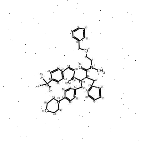 CN(CCOCc1ccccc1)C(=O)C(Cc1ccccc1)N(Cc1ccc(N2CCOCC2)cc1)C(=O)C=Cc1ccc(C(F)(F)F)cc1